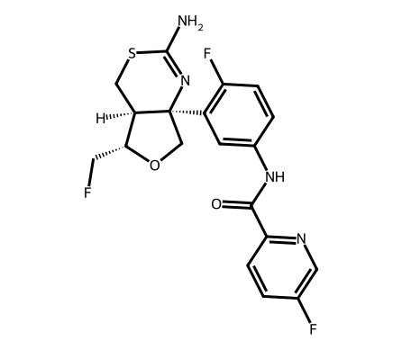 NC1=N[C@@]2(c3cc(NC(=O)c4ccc(F)cn4)ccc3F)CO[C@H](CF)[C@H]2CS1